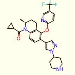 C[C@H]1CCc2c(ccc(-c3cnn(C4CCNCC4)c3)c2Oc2ccc(C(F)(F)F)cn2)N1C(=O)C1CC1